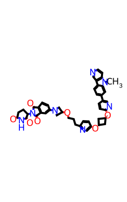 Cn1c2ccncc2c2ccc(-c3ccc(O[C@H]4C[C@H](Oc5ccc(CCCOC6CN(c7ccc8c(c7)C(=O)N(C7CCC(=O)NC7=O)C8=O)C6)nc5)C4)nc3)cc21